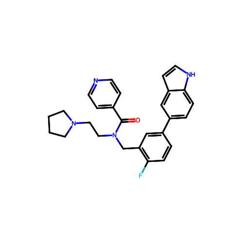 O=C(c1ccncc1)N(CCN1CCCC1)Cc1cc(-c2ccc3[nH]ccc3c2)ccc1F